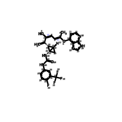 C=C(/C(O)=C\C=C(/C)Oc1ncnc2[nH]cnc12)[C@@H]1[C@@H]2C[C@@]12NC(=O)Nc1ccc(F)c(C(F)(F)F)c1